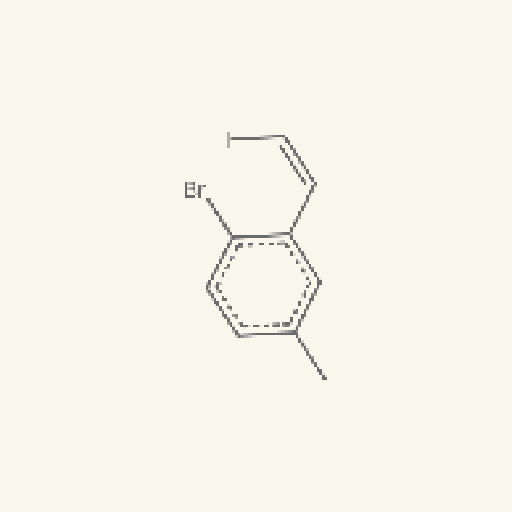 Cc1ccc(Br)c(/C=C\I)c1